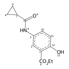 CCOC(=O)c1cc(NC(=O)C2CC2)ccc1O